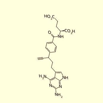 C#CC(CCc1c[nH]c2nc(N)nc(N)c12)c1ccc(C(=O)N[C@@H](CCC(=O)O)C(=O)O)cc1